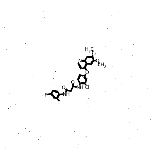 COc1cc2nccc(Oc3ccc(NC(=O)CC(=O)Nc4ccc(F)cc4F)c(Cl)c3)c2cc1OC